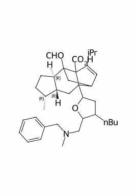 CCCCC1CC(C23C[C@@H]4[C@H](C)CC[C@H]4C4(C=O)CC2C=C(C(C)C)C34C(=O)O)OC1CN(C)Cc1ccccc1